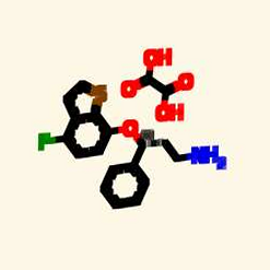 NCC[C@@H](Oc1ccc(F)c2ccsc12)c1ccccc1.O=C(O)C(=O)O